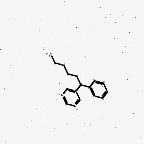 CCCCCC(c1ccccc1)c1cncnc1